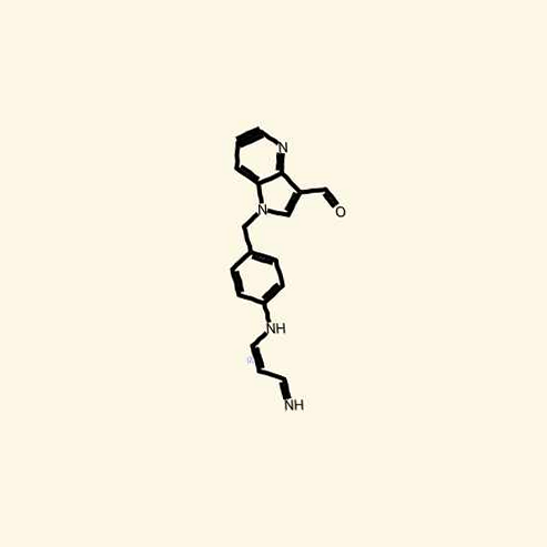 N=C/C=C\Nc1ccc(Cn2cc(C=O)c3nc#ccc32)cc1